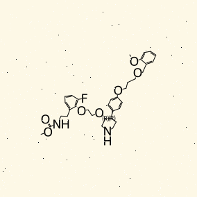 COC(=O)NCCc1cccc(F)c1OCCO[C@H]1CNCC[C@@H]1c1ccc(OCCCOCc2ccccc2OC)cc1